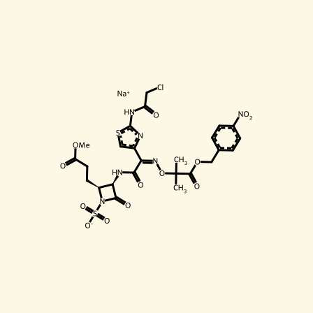 COC(=O)CC[C@H]1[C@@H](NC(=O)/C(=N\OC(C)(C)C(=O)OCc2ccc([N+](=O)[O-])cc2)c2csc(NC(=O)CCl)n2)C(=O)N1S(=O)(=O)[O-].[Na+]